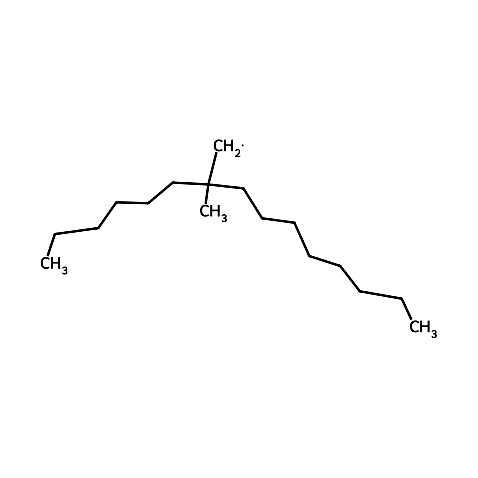 [CH2]C(C)(CCCCCC)CCCCCCCC